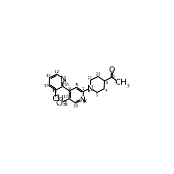 CC(=O)C1CCN(c2cc(-c3ncccc3C)c(Cl)cn2)CC1